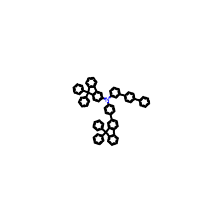 c1ccc(-c2ccc(-c3cccc(N(c4ccc(-c5ccc6c(c5)C(c5ccccc5)(c5ccccc5)c5ccccc5-6)cc4)c4ccc5c(c4)-c4ccccc4C5(c4ccccc4)c4ccccc4)c3)cc2)cc1